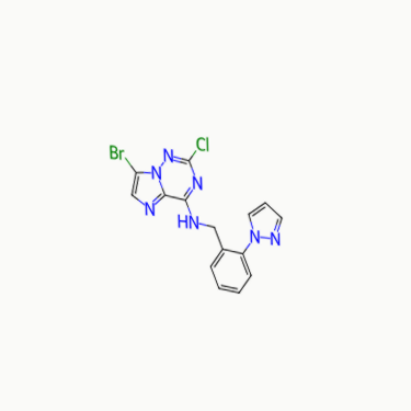 Clc1nc(NCc2ccccc2-n2cccn2)c2ncc(Br)n2n1